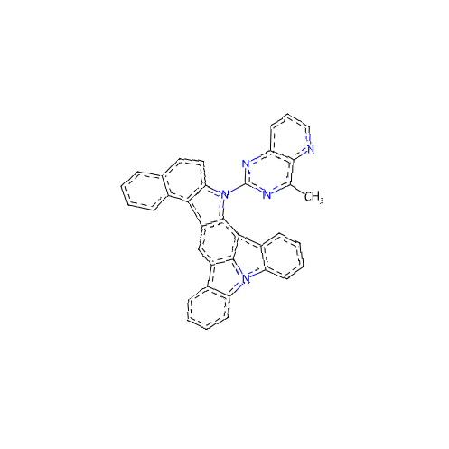 Cc1nc(-n2c3ccc4ccccc4c3c3cc4c5ccccc5n5c6ccccc6c(c32)c45)nc2cccnc12